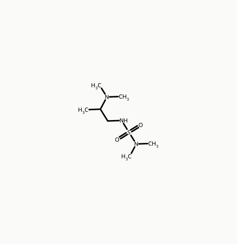 CC(CNS(=O)(=O)N(C)C)N(C)C